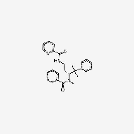 CN(C(=O)c1ccccc1)[C@H](CCNC(=O)c1ccccn1)C(C)(C)c1ccccc1